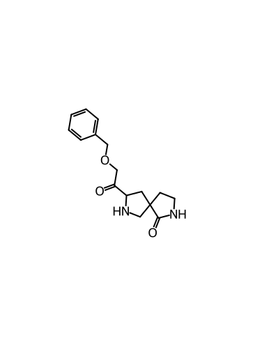 O=C(COCc1ccccc1)C1CC2(CCNC2=O)CN1